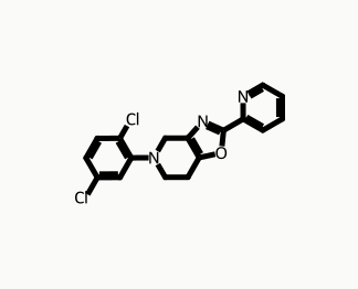 Clc1ccc(Cl)c(N2CCc3oc(-c4ccccn4)nc3C2)c1